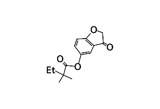 CCC(C)(C)C(=O)Oc1ccc2c(c1)C(=O)CO2